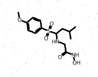 COc1ccc(S(=O)(=O)C(CC(C)C)NCC(=O)NO)cc1